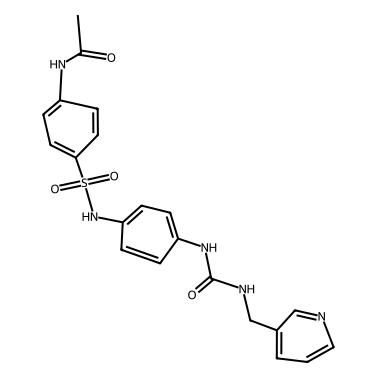 CC(=O)Nc1ccc(S(=O)(=O)Nc2ccc(NC(=O)NCc3cccnc3)cc2)cc1